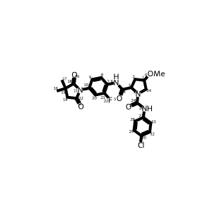 COC1CC(C(=O)Nc2ccc(N3C(=O)CC(C)(C)C3=O)cc2F)N(C(=O)Nc2ccc(Cl)cc2)C1